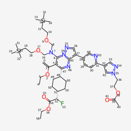 C=C(OCC)c1c(N(COCC[Si](C)(C)C)COCC[Si](C)(C)C)n2ncc(-c3ccc(-c4cnn(CCOC(C)=O)c4)nc3)c2nc1[C@H]1CC[C@@H](C(F)C(=O)OCC)CC1